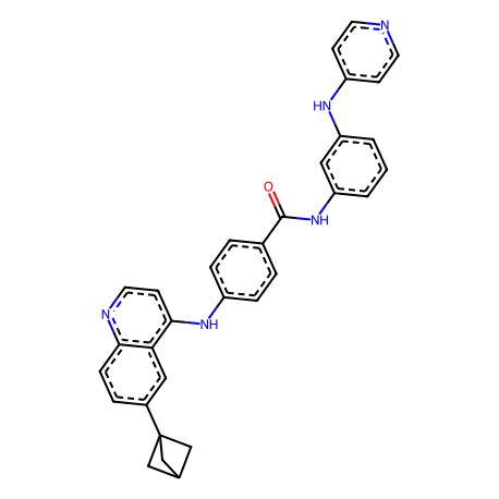 O=C(Nc1cccc(Nc2ccncc2)c1)c1ccc(Nc2ccnc3ccc(C45CC(C4)C5)cc23)cc1